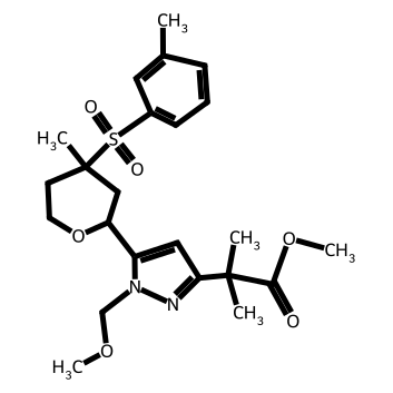 COCn1nc(C(C)(C)C(=O)OC)cc1C1CC(C)(S(=O)(=O)c2cccc(C)c2)CCO1